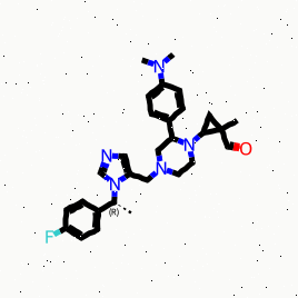 C[C@H](c1ccc(F)cc1)n1cncc1CN1CCN(C2CC2(C)C=O)C(c2ccc(N(C)C)cc2)C1